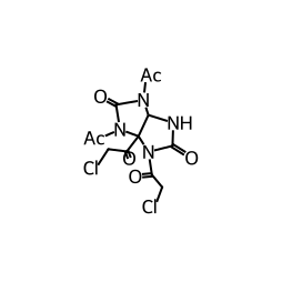 CC(=O)N1C(=O)N(C(C)=O)C2(C(=O)CCl)C1NC(=O)N2C(=O)CCl